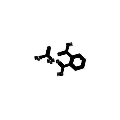 NC(N)=O.O=C(O)c1ccccc1C(=O)O